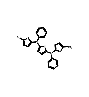 Bc1ccc(N(c2ccccc2)c2ccc(N(c3ccccc3)c3ccc(Br)s3)s2)s1